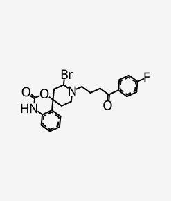 O=C1Nc2ccccc2C2(CCN(CCCC(=O)c3ccc(F)cc3)C(Br)C2)O1